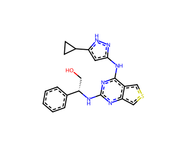 OC[C@H](Nc1nc(Nc2cc(C3CC3)[nH]n2)c2cscc2n1)c1ccccc1